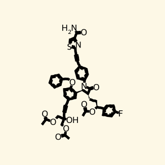 CC(=O)OCC(O)(C#Cc1ccc(OCc2ccccc2)c([C@@H]2[C@@H](CC[C@H](OC(C)=O)c3ccc(F)cc3)C(=O)N2c2ccc(C#Cc3nc(C(N)=O)cs3)cc2)c1)COC(C)=O